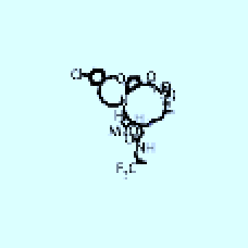 CO[C@@]1(CC(=O)NC[C@H](C)C(F)(F)F)/C=C/C[C@H](C)[C@@H](C)S(=O)(=O)NC(=O)c2ccc3c(c2)N(CCCCc2cc(Cl)ccc2CO3)C[C@@H]2CC[C@H]21